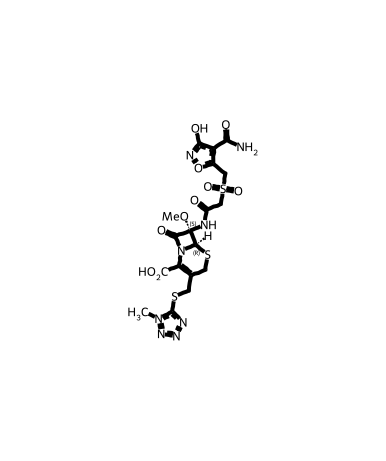 CO[C@@]1(NC(=O)CS(=O)(=O)Cc2onc(O)c2C(N)=O)C(=O)N2C(C(=O)O)=C(CSc3nnnn3C)CS[C@@H]21